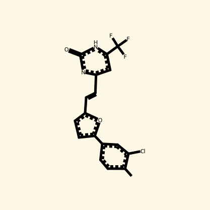 Cc1ccc(-c2ccc(C=Cc3cc(C(F)(F)F)[nH]c(=O)n3)o2)cc1Cl